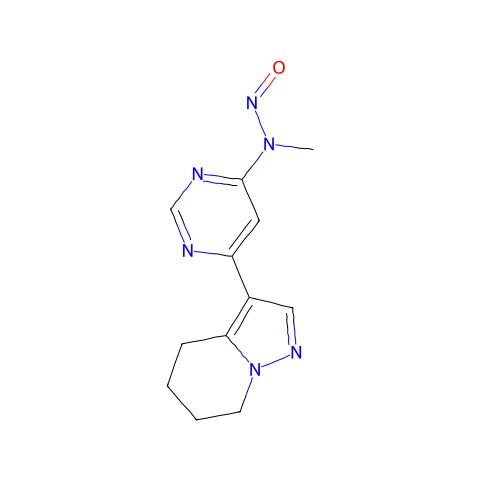 CN(N=O)c1cc(-c2cnn3c2CCCC3)ncn1